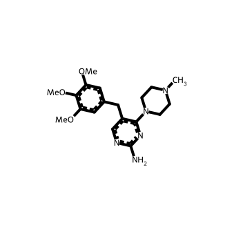 COc1cc(Cc2cnc(N)nc2N2CCN(C)CC2)cc(OC)c1OC